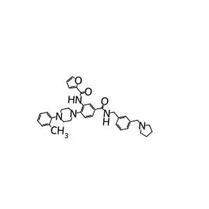 Cc1ccccc1N1CCN(c2ccc(C(=O)NCc3cccc(CN4CCCC4)c3)cc2NC(=O)c2ccco2)CC1